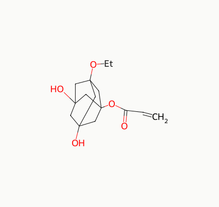 C=CC(=O)OC12CC3(O)CC(O)(CC(OCC)(C3)C1)C2